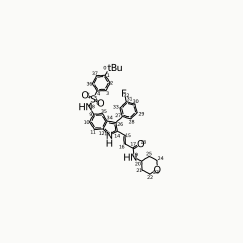 CC(C)(C)c1ccc(S(=O)(=O)Nc2ccc3[nH]c(/C=C/C(=O)NC4CCOCC4)c(-c4cccc(F)c4)c3c2)cc1